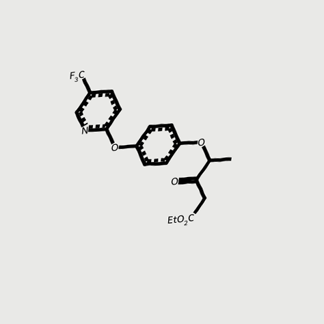 CCOC(=O)CC(=O)C(C)Oc1ccc(Oc2ccc(C(F)(F)F)cn2)cc1